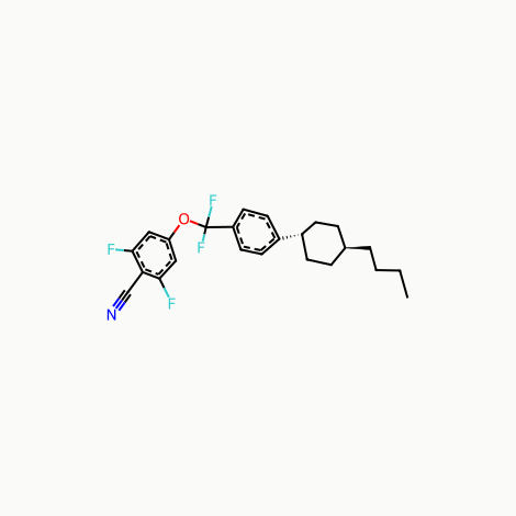 CCCC[C@H]1CC[C@H](c2ccc(C(F)(F)Oc3cc(F)c(C#N)c(F)c3)cc2)CC1